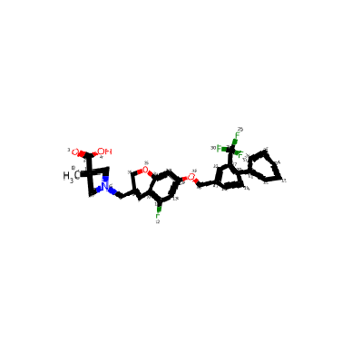 CC1(C(=O)O)CN(CC2=Cc3c(F)cc(OCc4ccc(-c5ccccc5)c(C(F)(F)F)c4)cc3OC2)C1